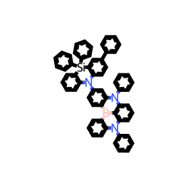 c1ccc(-c2ccc3c(c2)[Si](c2ccccc2)(c2ccccc2)c2ccccc2N3c2ccc3c(c2)N(c2ccccc2)c2cccc4c2B3c2ccccc2N4c2ccccc2)cc1